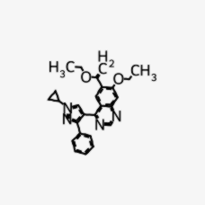 C=C(OCC)c1cc2c(-c3cn(C4CC4)nc3-c3ccccc3)ncnc2cc1OCC